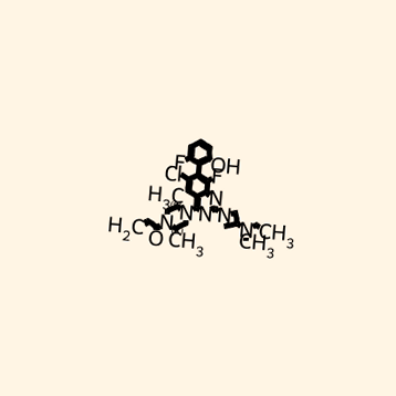 C=CC(=O)N1C[C@H](C)N(c2nc(N3CC(N(C)CC)C3)nc3c(F)c(-c4c(O)cccc4F)c(Cl)cc23)C[C@H]1C